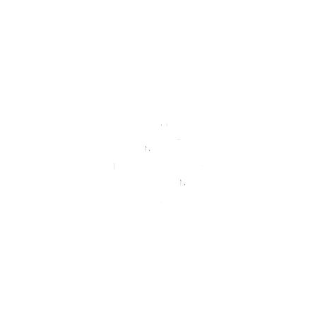 CCc1nc(Cl)cc(N2C(=O)c3ccccc3C2O)c1F